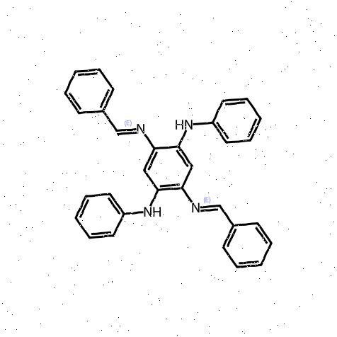 C(=N\c1cc(Nc2ccccc2)c(/N=C/c2ccccc2)cc1Nc1ccccc1)/c1ccccc1